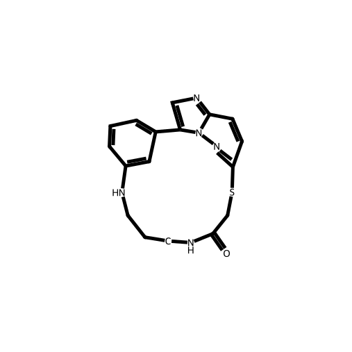 O=C1CSc2ccc3ncc(n3n2)-c2cccc(c2)NCCCN1